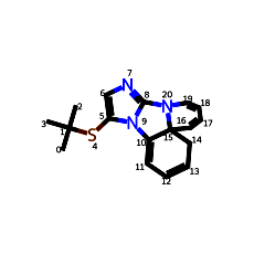 CC(C)(C)Sc1cnc2n1C1=CC=CCC13C=CC=CN23